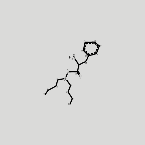 CCCCB(CCCC)OC(=O)C(N)Cc1ccccc1